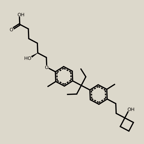 CCC(CC)(c1ccc(CCC2(O)CCC2)c(C)c1)c1ccc(OC[C@@H](O)CCCC(=O)O)c(C)c1